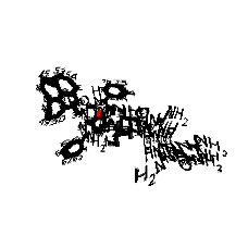 N=C(N)NC(NC(=O)C(NC(=N)N)NC(=O)C(NC(=N)N)NC(=O)C(NC(=N)N)NC(=O)C(NC(=O)C(O)N(CC1=CC2=C3C(=CC=C4C=CC=C1C43)CC=C2)c1nc(-c2ccccc2)nc2ccccc12)c1ccccc1)C(N)=O